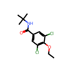 CCOc1c(Cl)cc(C(=O)NC(C)(C)C)cc1Cl